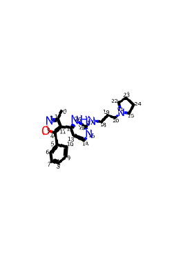 Cc1noc(-c2ccccc2)c1-c1ccnc(NCCCN2CCCC2)n1